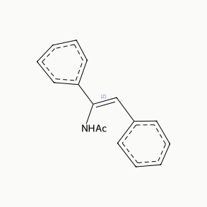 CC(=O)N/C(=C\c1ccccc1)c1ccccc1